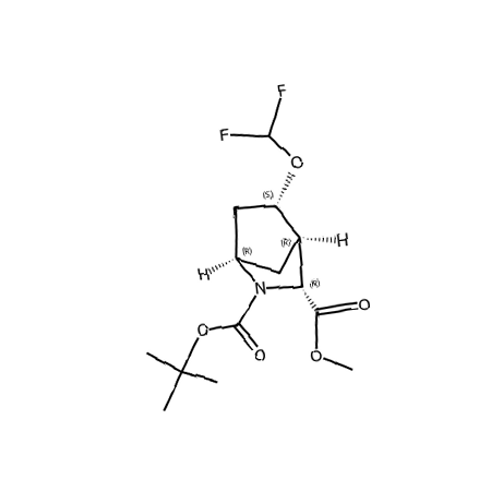 COC(=O)[C@H]1[C@H]2C[C@H](C[C@@H]2OC(F)F)N1C(=O)OC(C)(C)C